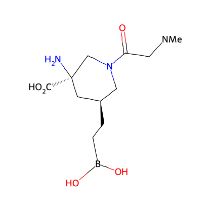 CNCC(=O)N1C[C@@H](CCB(O)O)C[C@](N)(C(=O)O)C1